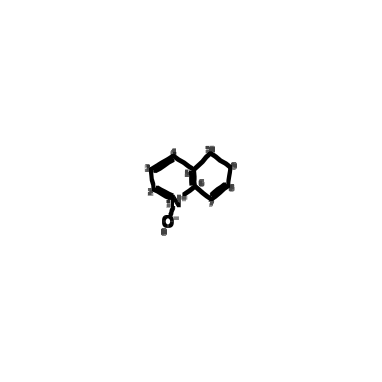 [O-][n+]1cccc2c1C=CCC2